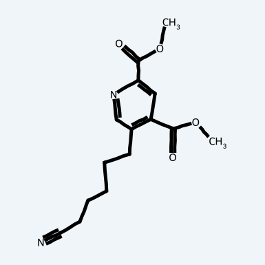 COC(=O)c1cc(C(=O)OC)c(CCCCCC#N)cn1